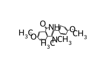 COc1ccc(-c2[nH]c(=O)c3cc(OC)ccc3c2N(C)C)cc1